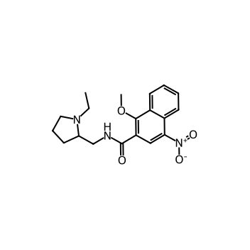 CCN1CCCC1CNC(=O)c1cc([N+](=O)[O-])c2ccccc2c1OC